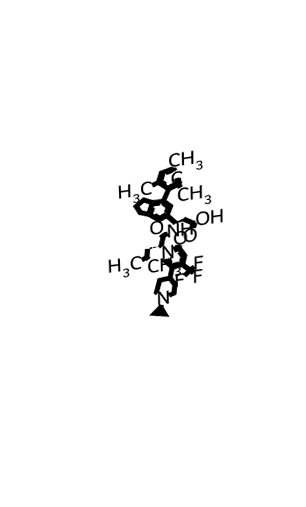 Cc1cc(C)c(-c2cc([C@@H](CC(=O)O)NC(=O)[C@@H](CC(C)C)n3cc(C4CCN(C5CC5)CC4)c(C(F)(F)F)cc3=O)cc3c2CCC3)c(C)c1